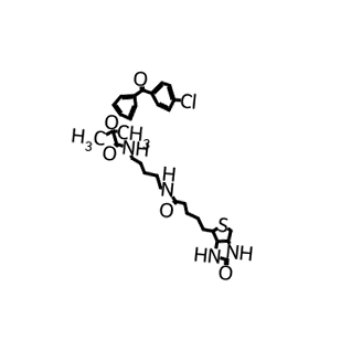 CC(C)(Oc1ccc(C(=O)c2ccc(Cl)cc2)cc1)C(=O)NCCCCCNC(=O)CCCCC1SCC2NC(=O)NC21